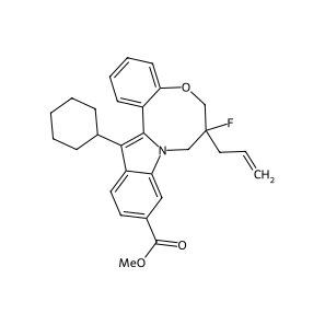 C=CCC1(F)COc2ccccc2-c2c(C3CCCCC3)c3ccc(C(=O)OC)cc3n2C1